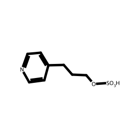 O=S(=O)(O)OCCCc1ccncc1